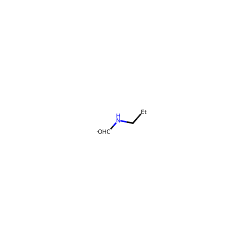 CCCN[C]=O